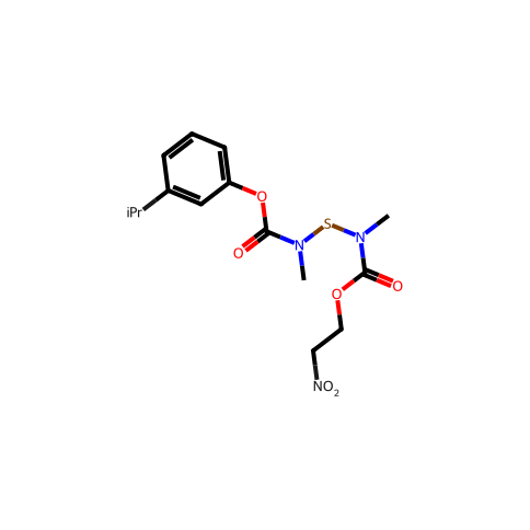 CC(C)c1cccc(OC(=O)N(C)SN(C)C(=O)OCC[N+](=O)[O-])c1